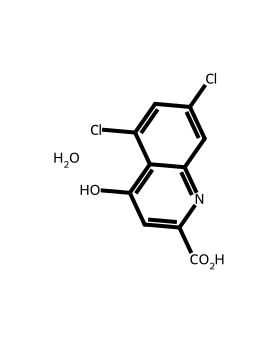 O.O=C(O)c1cc(O)c2c(Cl)cc(Cl)cc2n1